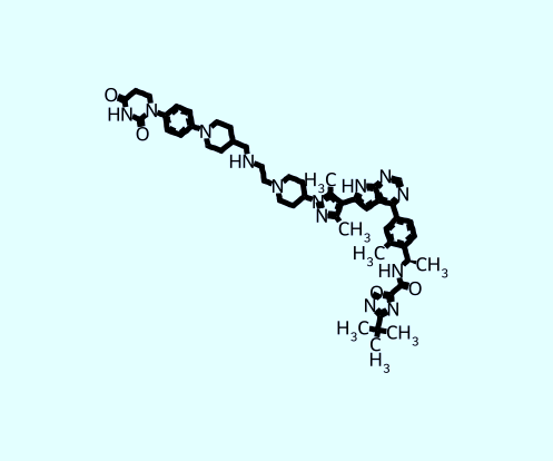 Cc1cc(-c2ncnc3[nH]c(-c4c(C)nn(C5CCN(CCNCC6CCN(c7ccc(N8CCC(=O)NC8=O)cc7)CC6)CC5)c4C)cc23)ccc1[C@@H](C)NC(=O)c1nc(C(C)(C)C)no1